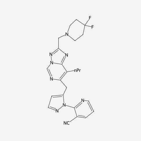 CCCc1c(Cc2ccnn2-c2ncccc2C#N)ncn2nc(CN3CCC(F)(F)CC3)nc12